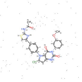 COc1cccc(-n2c(=O)[nH]c3cc(Cl)n(-c4ccc(-c5csc(NC(C)=O)n5)cc4)c3c2=O)c1